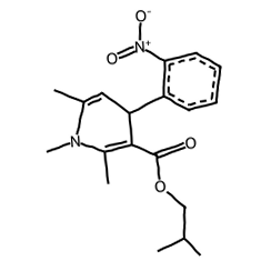 CC1=CC(c2ccccc2[N+](=O)[O-])C(C(=O)OCC(C)C)=C(C)N1C